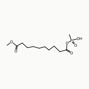 COC(=O)CCCCCCCCC(=O)OP(C)(=O)O